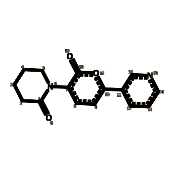 O=C1CCCCN1c1ccc(-c2cccnc2)oc1=O